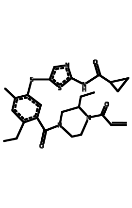 C=CC(=O)N1CCN(C(=O)c2cc(Sc3cnc(NC(=O)C4CC4)s3)c(C)cc2CC)CC1CC